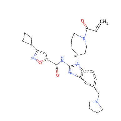 C=CC(=O)N1CCC[C@@H](n2c(NC(=O)c3cc(C4CCC4)no3)nc3cc(CN4CCCC4)ccc32)CC1